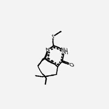 CSc1nc2c(c(=O)[nH]1)CC(C)(C)C2